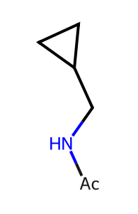 CC(=O)NCC1CC1